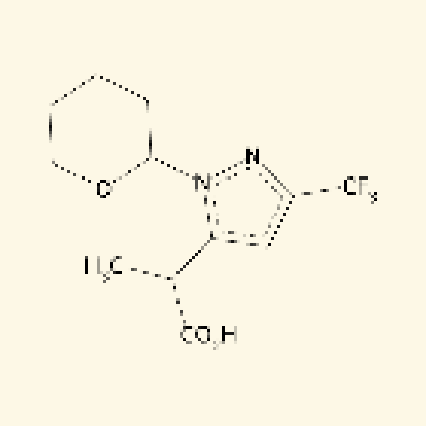 CC(C(=O)O)c1cc(C(F)(F)F)nn1C1CCCCO1